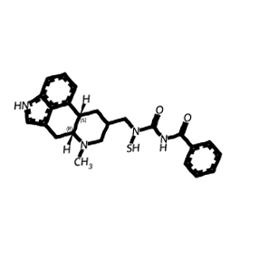 CN1CC(CN(S)C(=O)NC(=O)c2ccccc2)C[C@H]2c3cccc4[nH]cc(c34)C[C@H]21